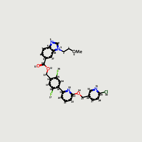 COCCn1cnc2ccc(C(=O)OCc3cc(F)c(-c4cccc(OCc5ccc(Cl)nc5)n4)cc3F)cc21